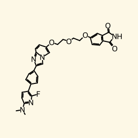 CN(C)c1ccc(-c2ccc(-c3cn4cc(OCCOCCOc5ccc6c(c5)C(=O)NC6=O)ccc4n3)cc2)c(F)n1